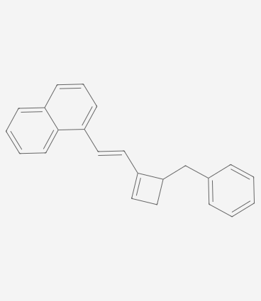 C(=Cc1cccc2ccccc12)C1=CCC1Cc1ccccc1